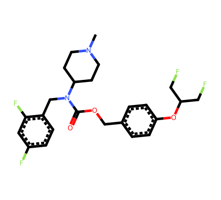 CN1CCC(N(Cc2ccc(F)cc2F)C(=O)OCc2ccc(OC(CF)CF)cc2)CC1